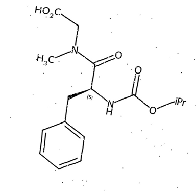 CC(C)OC(=O)N[C@@H](Cc1ccccc1)C(=O)N(C)CC(=O)O